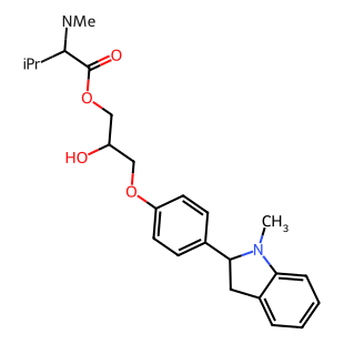 CNC(C(=O)OCC(O)COc1ccc(C2Cc3ccccc3N2C)cc1)C(C)C